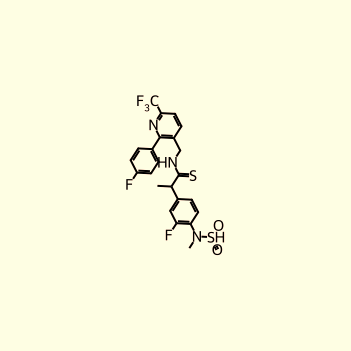 CC(C(=S)NCc1ccc(C(F)(F)F)nc1-c1ccc(F)cc1)c1ccc(N(C)[SH](=O)=O)c(F)c1